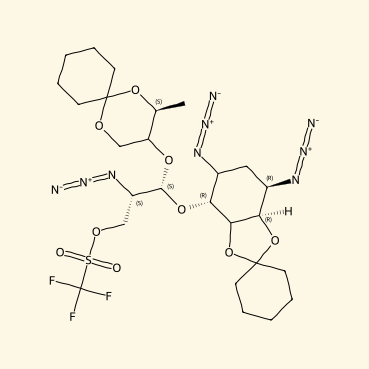 C[C@@H]1OC2(CCCCC2)OCC1O[C@H](O[C@@H]1C(N=[N+]=[N-])C[C@@H](N=[N+]=[N-])[C@H]2OC3(CCCCC3)OC12)[C@H](COS(=O)(=O)C(F)(F)F)N=[N+]=[N-]